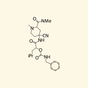 CNC(=O)C1CC(C#N)(NC(=O)C(CC(C)C)OC(=O)NCc2ccccc2)CCN1C